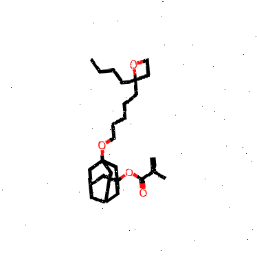 C=C(C)C(=O)OC12CC3CC(CC(OCCCCCC4(CCCC)CCO4)(C3)C1)C2